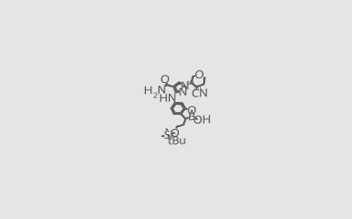 CC(C)(C)[Si](C)(C)OCCC1B(O)Oc2cc(Nc3nn([C@@H]4COCC[C@H]4C#N)cc3C(N)=O)ccc21